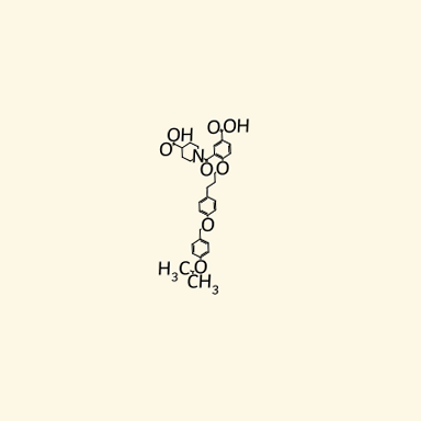 CC(C)Oc1ccc(COc2ccc(CCCOc3ccc(C(=O)O)cc3C(=O)N3CCC(C(=O)O)CC3)cc2)cc1